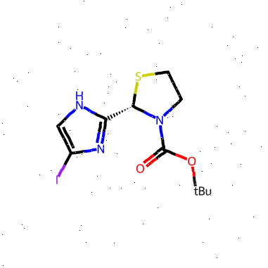 CC(C)(C)OC(=O)N1CCS[C@H]1c1nc(I)c[nH]1